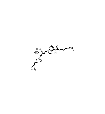 C#C[C@](CCn1cnc2c(NC(=O)CCCCCC)nc(F)nc21)(COC(=O)CCCCCC)OC